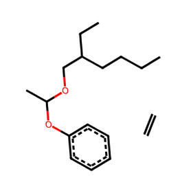 C=C.CCCCC(CC)COC(C)Oc1ccccc1